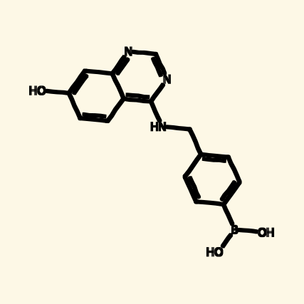 OB(O)c1ccc(CNc2ncnc3cc(O)ccc23)cc1